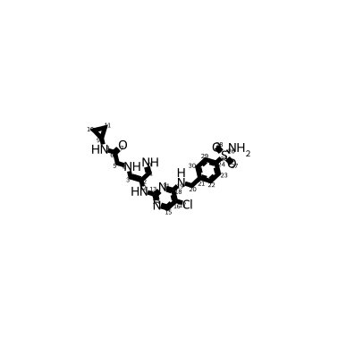 N=C/C(=C\NCC(=O)NC1CC1)Nc1ncc(Cl)c(NCc2ccc(S(N)(=O)=O)cc2)n1